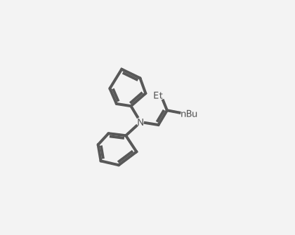 CCCCC(=CN(c1ccccc1)c1ccccc1)CC